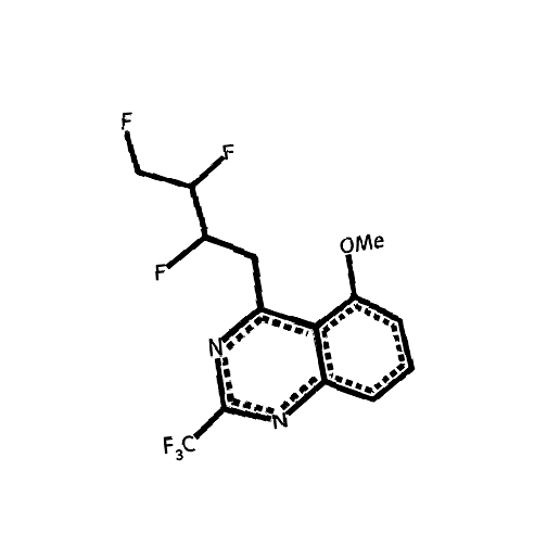 COc1cccc2nc(C(F)(F)F)nc(CC(F)C(F)CF)c12